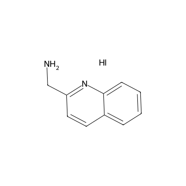 I.NCc1ccc2ccccc2n1